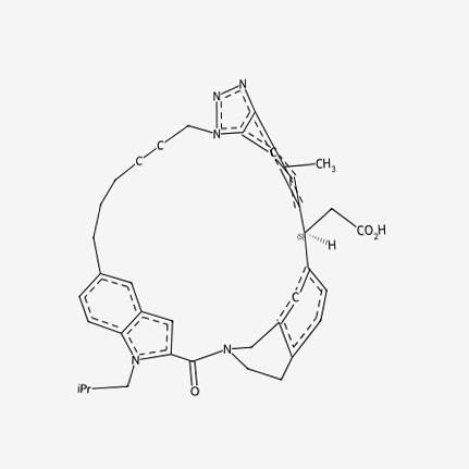 Cc1c2ccc3c1nnn3CCCCCCc1ccc3c(c1)cc(n3CC(C)C)C(=O)N1CCc3ccc(cc3C1)[C@@H]2CC(=O)O